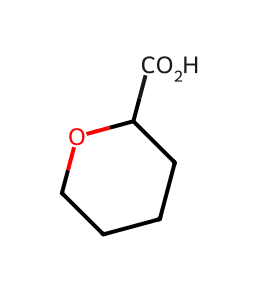 O=C(O)C1CCCCO1